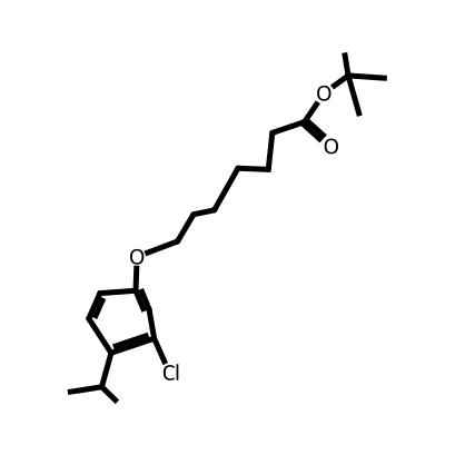 CC(C)c1ccc(OCCCCCCC(=O)OC(C)(C)C)cc1Cl